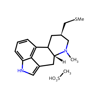 CS(=O)(=O)O.CSC[C@@H]1CC2c3cccc4[nH]cc(c34)C[C@H]2N(C)C1